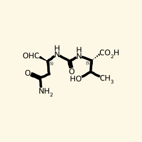 CC(O)[C@H](NC(=O)N[C@H](C=O)CC(N)=O)C(=O)O